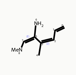 C=C/C=C(C)\C(N)=C/NC